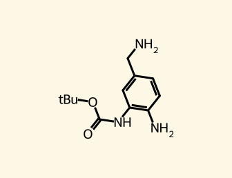 CC(C)(C)OC(=O)Nc1cc(CN)ccc1N